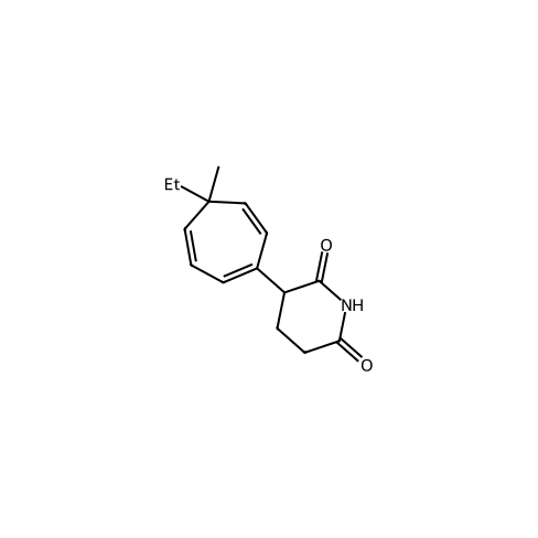 CCC1(C)C=CC=C(C2CCC(=O)NC2=O)C=C1